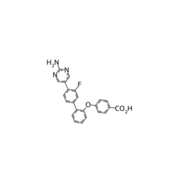 Nc1ncc(-c2ccc(-c3ccccc3Oc3ccc(C(=O)O)cc3)cc2F)cn1